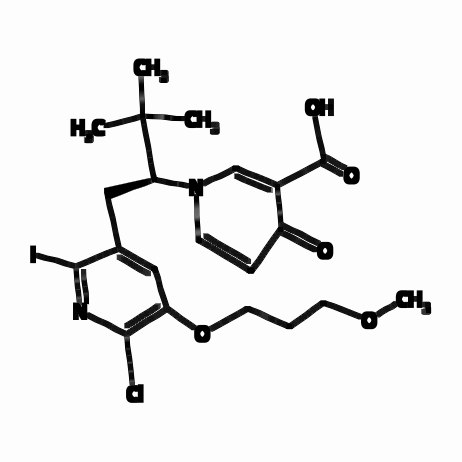 COCCCOc1cc(C[C@H](n2ccc(=O)c(C(=O)O)c2)C(C)(C)C)c(I)nc1Cl